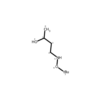 CC(O)CCNOC(C)(C)C